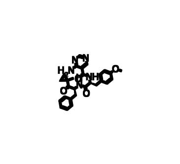 COc1ccc(C[C@H](NC(=O)c2cncnc2N)C(=O)N[C@@H](Cc2ccccc2)C(=O)C2(C)CC2)cc1